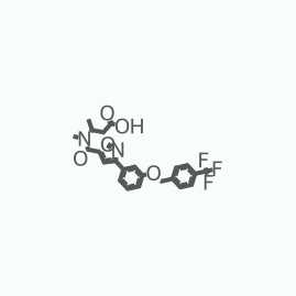 CC(CC(=O)O)N(C)C(=O)c1cc(-c2cccc(OCc3ccc(C(F)(F)F)cc3)c2)no1